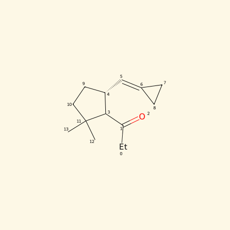 CCC(=O)C1[C@@H](C=C2CC2)CCC1(C)C